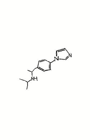 CC(C)NC(C)c1ccc(-n2ccnc2)cc1